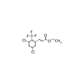 CCOC(=O)C=Cc1cc(Cl)cc(Cl)c1C(F)(F)F